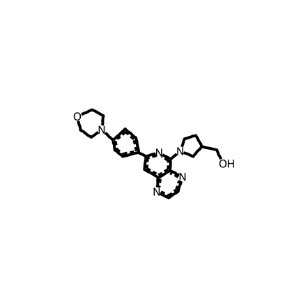 OCC1CCN(c2nc(-c3ccc(N4CCOCC4)cc3)cc3nccnc23)C1